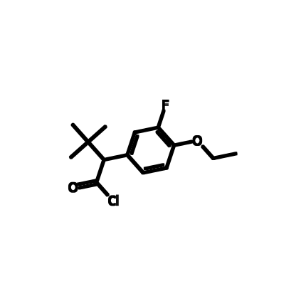 CCOc1ccc(C(C(=O)Cl)C(C)(C)C)cc1F